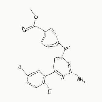 COC(=O)c1ccc(Nc2cc(-c3cc(Cl)ccc3Cl)nc(N)n2)cc1